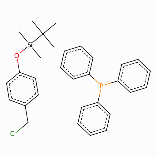 CC(C)(C)[Si](C)(C)Oc1ccc(CCl)cc1.c1ccc(P(c2ccccc2)c2ccccc2)cc1